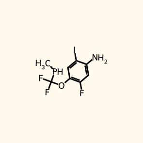 CPC(F)(F)Oc1cc(I)c(N)cc1F